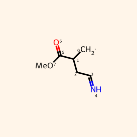 [CH2]C(CC=N)C(=O)OC